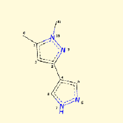 Cc1cc(-c2cn[nH]c2)nn1C